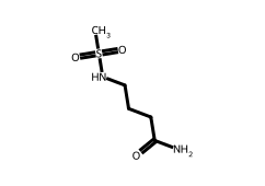 CS(=O)(=O)NCCCC(N)=O